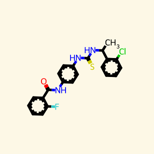 CC(NC(=S)Nc1ccc(NC(=O)c2ccccc2F)cc1)c1ccccc1Cl